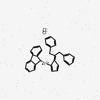 C1=CC(=C(Cc2ccccc2)Cc2ccccc2)[C]([Zr+2][CH]2c3ccccc3-c3ccccc32)=C1.[Cl-].[Cl-]